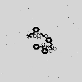 CC(C)(C)CC(=O)c1ccccc1NCCOc1ccc(CC(Nc2ccccc2C(=O)c2ccccc2)C(=O)O)cc1